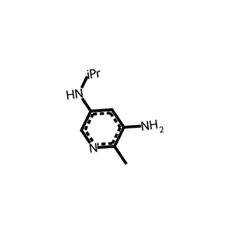 Cc1ncc(NC(C)C)cc1N